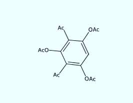 CC(=O)Oc1cc(OC(C)=O)c(C(C)=O)c(OC(C)=O)c1C(C)=O